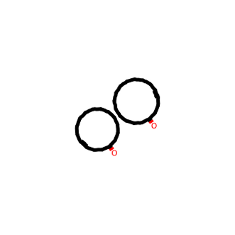 O=C1CCC=CCCCCCCCCCCC1.O=C1CCC=CCCCCCCCCCCCC1